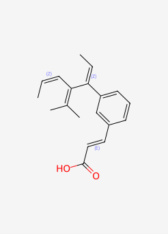 C/C=C\C(=C(C)C)/C(=C\C)c1cccc(/C=C/C(=O)O)c1